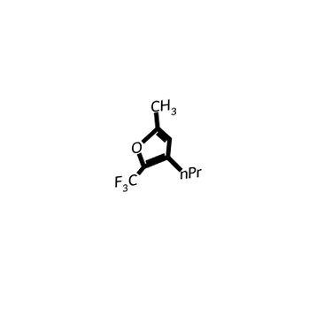 CCCc1cc(C)oc1C(F)(F)F